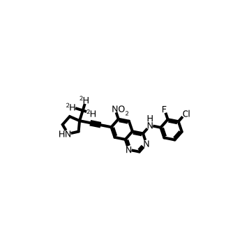 [2H]C([2H])([2H])C1(C#Cc2cc3ncnc(Nc4cccc(Cl)c4F)c3cc2[N+](=O)[O-])CCNC1